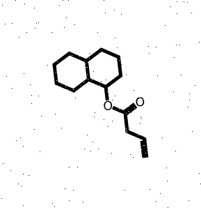 C=CCC(=O)OC1CCCC2CCCCC21